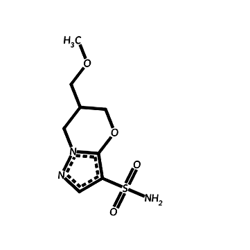 COCC1COc2c(S(N)(=O)=O)cnn2C1